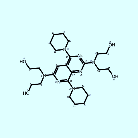 OCCN(CCO)c1cc2c(N3CCCCC3)nc(N(CCO)CCO)nc2c(N2CCCCC2)n1